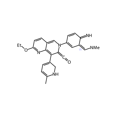 CCOc1ccc2c(n1)=C(C1=CC=C(C)NC1)C(=C=O)N(C1=C/C(=C/NC)C(=N)C=C1)C=2